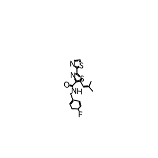 CC(C)=Cc1sc(-c2nccs2)nc1C(=O)NCC1=CCC(F)C=C1